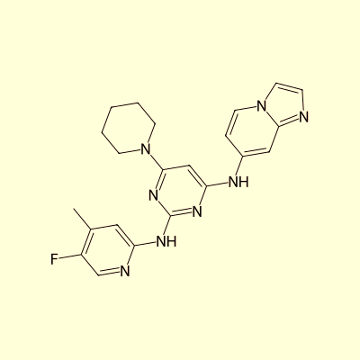 Cc1cc(Nc2nc(Nc3ccn4ccnc4c3)cc(N3CCCCC3)n2)ncc1F